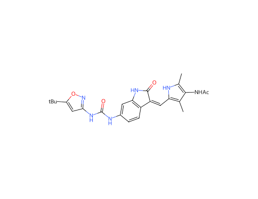 CC(=O)Nc1c(C)[nH]c(C=C2C(=O)Nc3cc(NC(=O)Nc4cc(C(C)(C)C)on4)ccc32)c1C